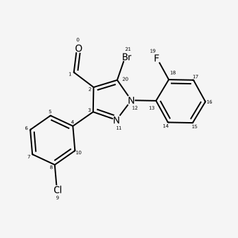 O=Cc1c(-c2cccc(Cl)c2)nn(-c2ccccc2F)c1Br